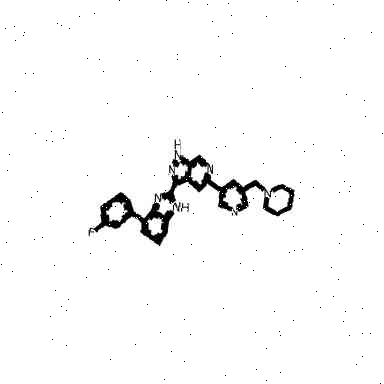 Fc1cccc(-c2cccc3[nH]c(-c4n[nH]c5cnc(-c6cncc(CN7CCCCC7)c6)cc45)nc23)c1